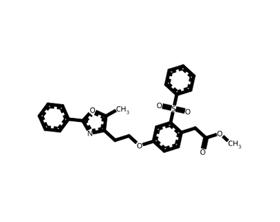 COC(=O)Cc1ccc(OCCc2nc(-c3ccccc3)oc2C)cc1S(=O)(=O)c1ccccc1